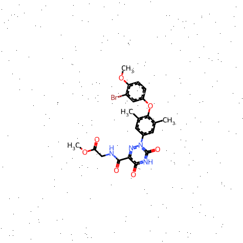 COC(=O)CNC(=O)c1nn(-c2cc(C)c(Oc3ccc(OC)c(Br)c3)c(C)c2)c(=O)[nH]c1=O